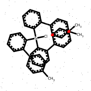 Cc1ccc(-c2ccccc2[Si](Cl)(c2ccccc2-c2ccc(C)cc2)c2ccccc2-c2ccc(C)cc2)cc1